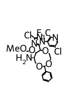 COCOC1C(c2nc(Cl)nn2-c2cc(Cl)cnc2C(F)(F)F)OCCOC(c2ccccc2)OC[C@H]1N